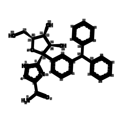 NC(=O)c1n[nH]c([C@]2(c3cccc(C(c4ccccc4)c4ccccc4)c3)O[C@H](CO)[C@@H](O)[C@H]2O)n1